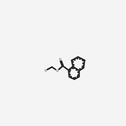 [O]COC(=O)c1cccc2ccccc12